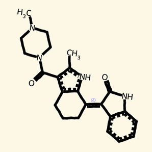 Cc1[nH]c2c(c1C(=O)N1CCN(C)CC1)CCC/C2=C1/C(=O)Nc2ccccc21